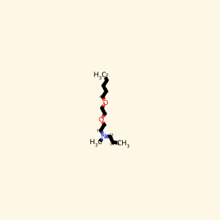 CCCCCOCCOCCN(C)CCC